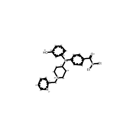 CCN(CC)C(=O)c1ccc(N(c2cccc(O)c2)C2CCN(Cc3ccccn3)CC2)cc1